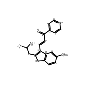 COc1ccc2[nH]c(CC(C)O)c(C=CC(=O)c3ccncc3)c2c1